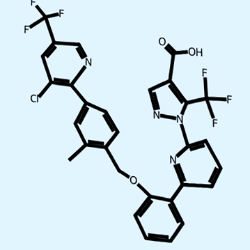 Cc1cc(-c2ncc(C(F)(F)F)cc2Cl)ccc1COc1ccccc1-c1cccc(-n2ncc(C(=O)O)c2C(F)(F)F)n1